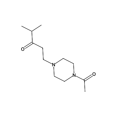 CC(=O)N1CCN(CCC(=O)C(C)C)CC1